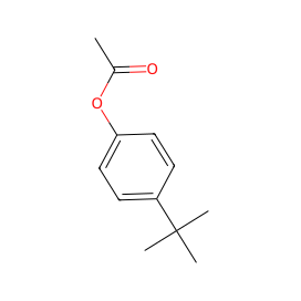 CC(=O)Oc1ccc(C(C)(C)C)cc1